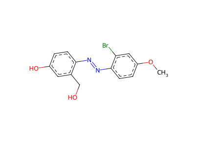 COc1ccc(N=Nc2ccc(O)cc2CO)c(Br)c1